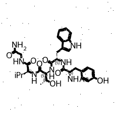 CC(=O)N[C@@H](Cc1ccc(O)cc1)C(=O)N[C@@H](Cc1c[nH]c2ccccc12)C(=O)N[C@H](C(=O)N[C@H](C(=O)NCC(N)=O)C(C)C)[C@@H](C)O